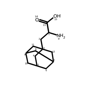 NC(CC12CC3CC(CC(C3)C1)C2)C(=O)O